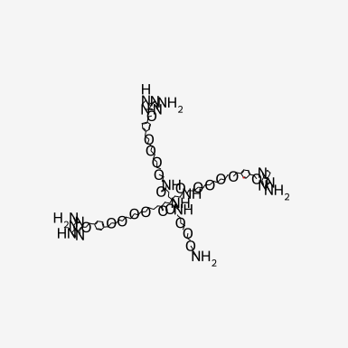 NCCOCCOCCOCCNC(=O)NC(CCC(=O)CCCOCCOCCOCCOCc1ccc(COc2nc(N)nc3[nH]cnc23)cc1)(CCC(=O)NCCOCCOCCOCCOCc1ccc(COc2nc(N)nc3c2N=CC3)cc1)CCC(=O)NCCOCCOCCOCCOCc1ccc(COc2nc(N)nc3[nH]cnc23)cc1